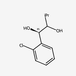 CC(C)C(O)[C@H](O)c1ccccc1Cl